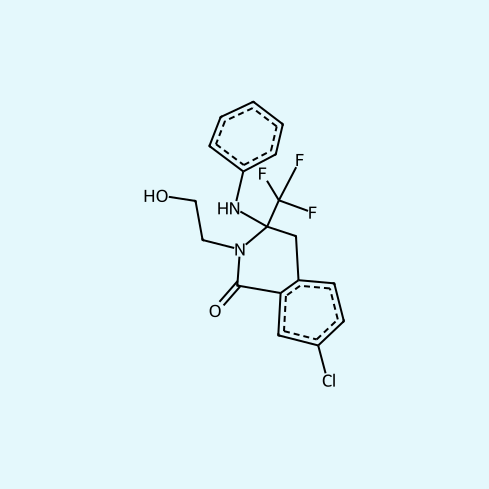 O=C1c2cc(Cl)ccc2CC(Nc2ccccc2)(C(F)(F)F)N1CCO